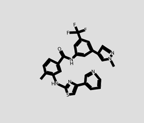 Cc1ccc(C(=O)Nc2cc(-c3cnn(C)c3)cc(C(F)(F)F)c2)cc1Nc1nc(-c2cccnc2)cs1